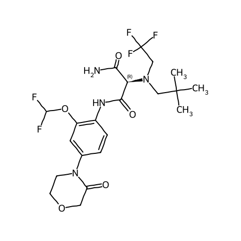 CC(C)(C)CN(CC(F)(F)F)[C@H](C(N)=O)C(=O)Nc1ccc(N2CCOCC2=O)cc1OC(F)F